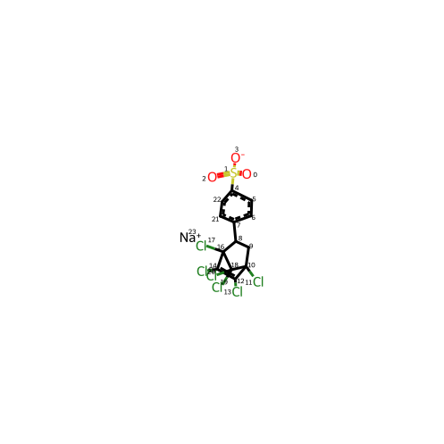 O=S(=O)([O-])c1ccc(C2CC3(Cl)C(Cl)=C(Cl)C2(Cl)C3(Cl)Cl)cc1.[Na+]